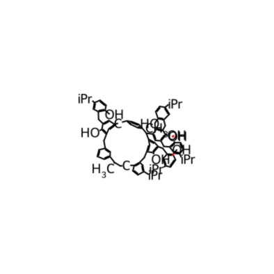 CC(C)c1ccc(O)c(Cc2cc3cc(c2O)Cc2cccc(c2)C(C)CCc2ccc(C(C)C)cc2Cc2cc(cc(Cc4cc(C(C)C)ccc4O)c2O)C(C)(c2cc(Cc4cc(C(C)C)ccc4O)c(O)c(Cc4cc(C(C)C)ccc4O)c2)c2ccc(cc2)C3)c1